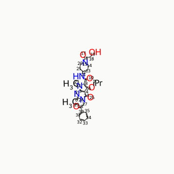 Cc1nc2c(c(OC(C)C)c(C(=O)NC3CCN(C(=O)CO)CC3)n2C)c(=O)n1CC(=O)c1ccccc1